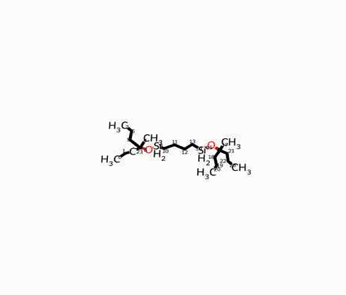 CCCC(C)(CCC)O[SiH2]CCCC[SiH2]OC(C)(CCC)CCC